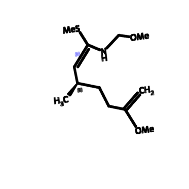 C=C(CC[C@@H](C)/C=C(\NCOC)SC)OC